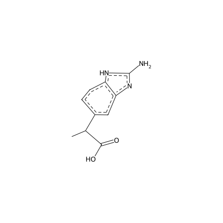 CC(C(=O)O)c1ccc2[nH]c(N)nc2c1